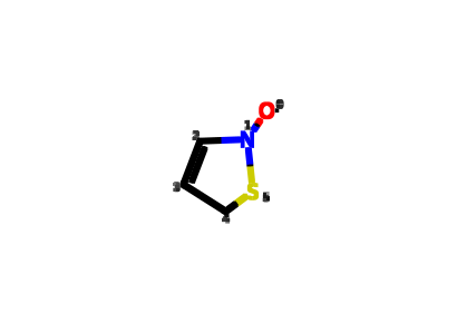 [O]N1C=CCS1